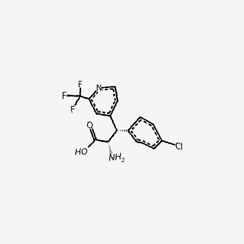 N[C@H](C(=O)O)[C@@H](c1ccc(Cl)cc1)c1ccnc(C(F)(F)F)c1